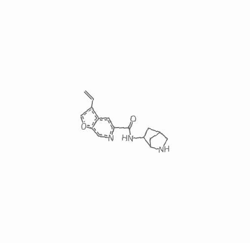 C=Cc1coc2cnc(C(=O)NC3CC4CNC3C4)cc12